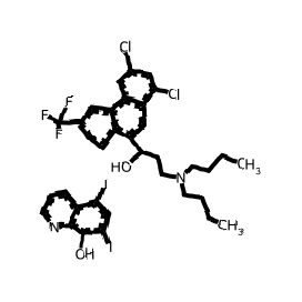 CCCCN(CCCC)CCC(O)c1cc2c(Cl)cc(Cl)cc2c2cc(C(F)(F)F)ccc12.Oc1c(I)cc(I)c2cccnc12